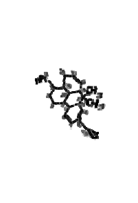 CCCC1CCC2C3C=CC(Br)=CC3C(C)(C)C3C=CCC1C23